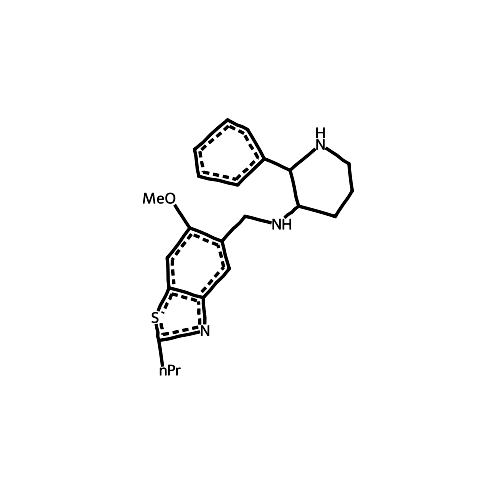 CCCc1nc2cc(CNC3CCCNC3c3ccccc3)c(OC)cc2s1